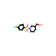 O=S(=O)(c1ccc(Cl)cc1)N1CCCC(CO)C1